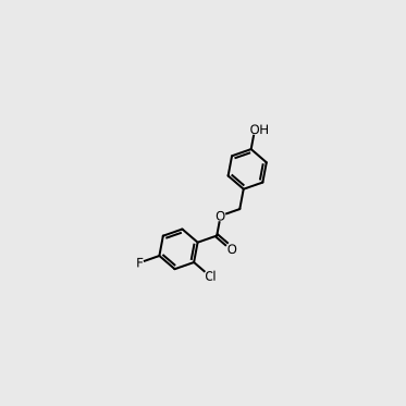 O=C(OCc1ccc(O)cc1)c1ccc(F)cc1Cl